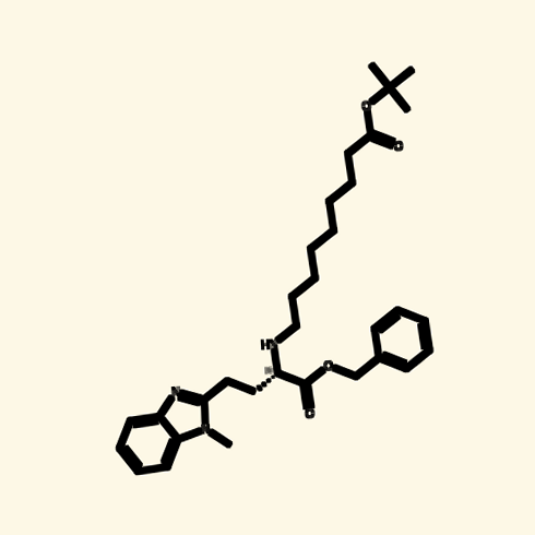 Cn1c(CC[C@H](NCCCCCCCCC(=O)OC(C)(C)C)C(=O)OCc2ccccc2)nc2ccccc21